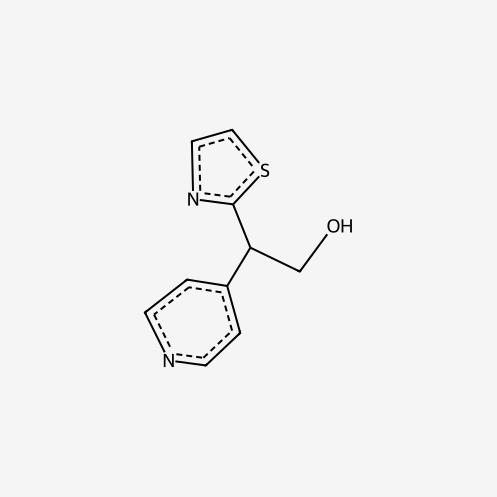 OCC(c1ccncc1)c1nccs1